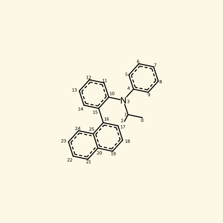 CC(C)N(c1ccccc1)c1ccccc1-c1cccc2ccccc12